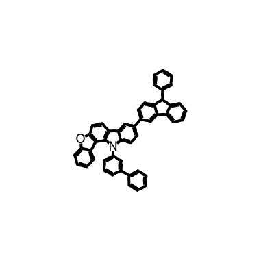 c1ccc(-c2cccc(-n3c4ccc(-c5ccc6c(c5)-c5ccccc5C6c5ccccc5)cc4c4ccc5oc6ccccc6c5c43)c2)cc1